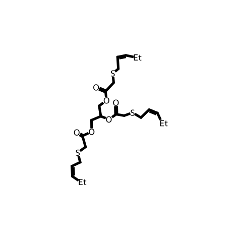 CC/C=C\CSCC(=O)OCC(COC(=O)CSC/C=C\CC)OC(=O)CSC/C=C\CC